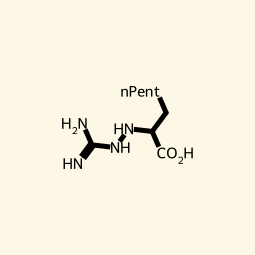 CCCCCCC(NNC(=N)N)C(=O)O